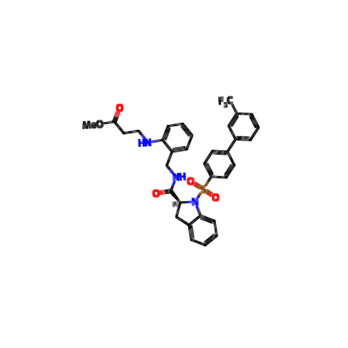 COC(=O)CCNc1ccccc1CNC(=O)[C@@H]1Cc2ccccc2N1S(=O)(=O)c1ccc(-c2cccc(C(F)(F)F)c2)cc1